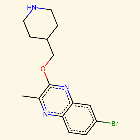 Cc1nc2ccc(Br)cc2nc1OCC1CCNCC1